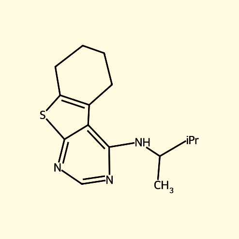 CC(C)C(C)Nc1ncnc2sc3c(c12)CCCC3